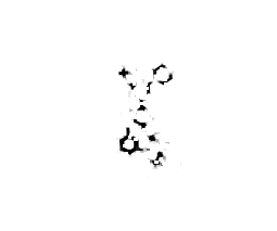 CN(C(=O)[C@H](CCN1CCOCC1)NC(=O)OC(C)(C)C)[C@@H](Cc1cccc(B2OC(C)(C)C(C)(C)O2)c1)C(=O)OC(C)(C)C